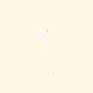 COCCOc1c(Cl)cc(C(F)(F)F)cc1C(=O)N=c1cc(C(C)(C)C)n(C)n1C[C@H]1CCCO1